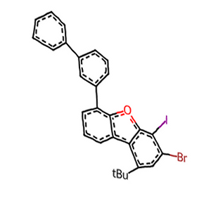 CC(C)(C)c1cc(Br)c(I)c2oc3c(-c4cccc(-c5ccccc5)c4)cccc3c12